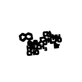 CC(C=O)N[P@@](OCC1CC(C)C(n2cc(Br)c(=O)[nH]c2=O)O1)Oc1cccc2ccccc12